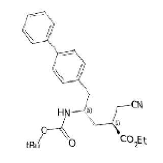 CCOC(=O)[C@H](CC#N)C[C@@H](Cc1ccc(-c2ccccc2)cc1)NC(=O)OC(C)(C)C